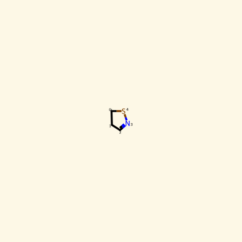 [CH]1CC=NS1